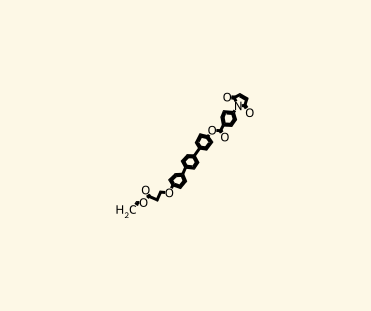 C=COC(=O)CCOc1ccc(-c2ccc(-c3ccc(OC(=O)c4ccc(N5C(=O)C=CC5=O)cc4)cc3)cc2)cc1